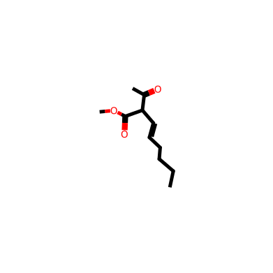 CCCC/C=C/C(C(C)=O)C(=O)OC